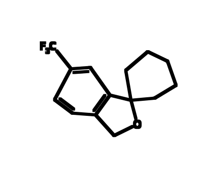 FC(F)(F)c1ccc2c(c1)C1(CCCCC1)OC2